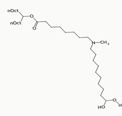 CCCCCCCCC(CCCCCCCC)OC(=O)CCCCCCCN(C)CCCCCCCCCC(O)OCCCCCCC